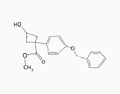 COC(=O)C1(c2ccc(OCc3ccccc3)cc2)CC(O)C1